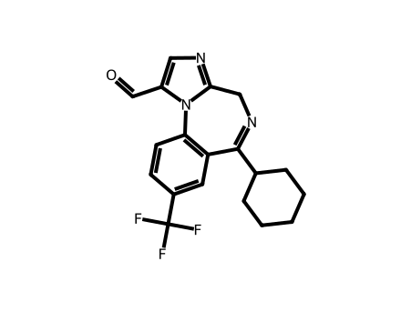 O=Cc1cnc2n1-c1ccc(C(F)(F)F)cc1C(C1CCCCC1)=NC2